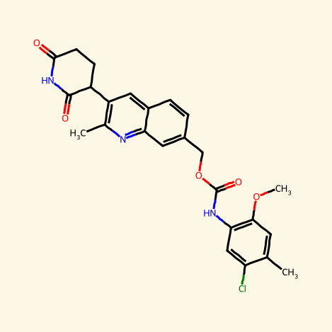 COc1cc(C)c(Cl)cc1NC(=O)OCc1ccc2cc(C3CCC(=O)NC3=O)c(C)nc2c1